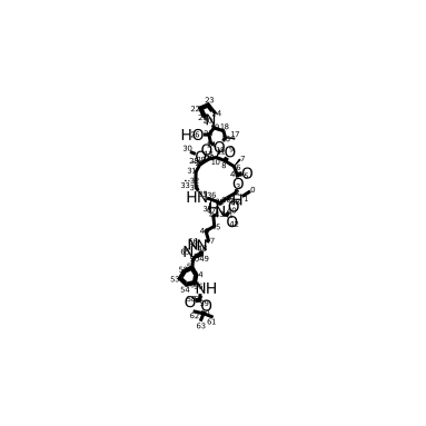 CC[C@H]1OC(=O)[C@H](C)C(=O)[C@H](C)[C@@H](O[C@@H]2O[C@H](C)CC(n3cccc3)C2O)[C@](C)(OC)C[C@@H](C)CN[C@H](C)[C@@H]2[C@@H]1OC(=O)N2CCCCn1cc(-c2cccc(NC(=O)OC(C)(C)C)c2)nn1